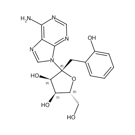 Nc1ncnc2c1ncn2[C@]1(Cc2ccccc2O)O[C@H](CO)[C@@H](O)[C@H]1O